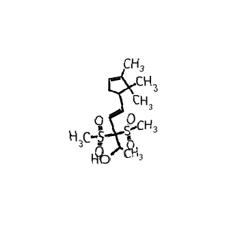 CC1=CCC(C=CC(C(C)O)(S(C)(=O)=O)S(C)(=O)=O)C1(C)C